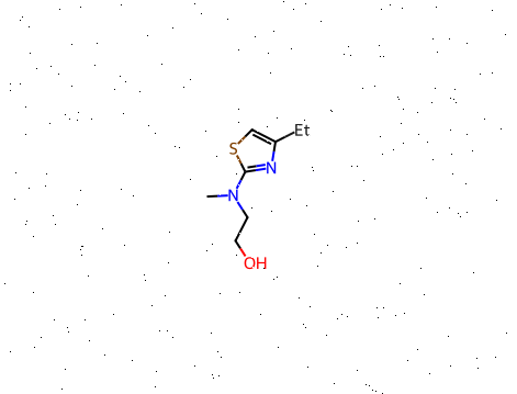 CCc1csc(N(C)CCO)n1